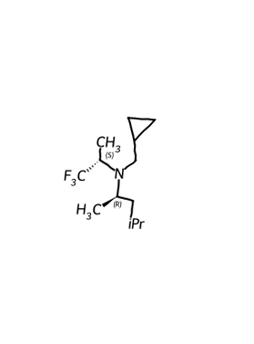 CC(C)C[C@@H](C)N(CC1CC1)[C@@H](C)C(F)(F)F